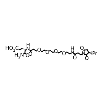 CC(C)C1CC(=O)N(CCC(=O)NCCOCCOCCOCCOCCC(=O)N[C@@H](CCC(=O)O)C(N)=O)C1=O